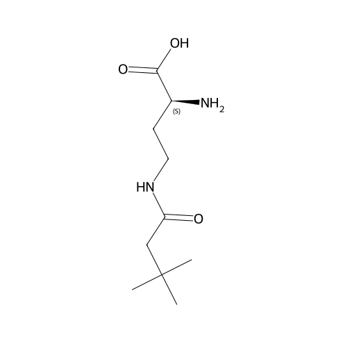 CC(C)(C)CC(=O)NCC[C@H](N)C(=O)O